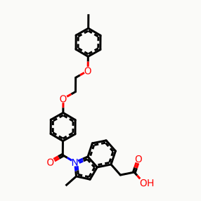 Cc1ccc(OCCOc2ccc(C(=O)n3c(C)cc4c(CC(=O)O)cccc43)cc2)cc1